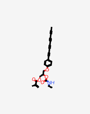 C=C(C)C(=O)OCC(COc1ccc(C#CC#CC#CC#CC)cc1)OC(=O)NCC